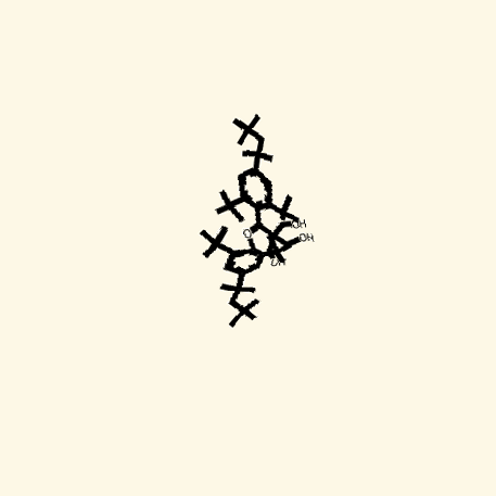 CC(C)(C)CC(C)(C)c1cc(C(C)(C)C)c(OC(c2c(C(C)(C)C)cc(C(C)(C)CC(C)(C)C)cc2C(C)(C)C)C(CO)(CO)CO)c(C(C)(C)C)c1